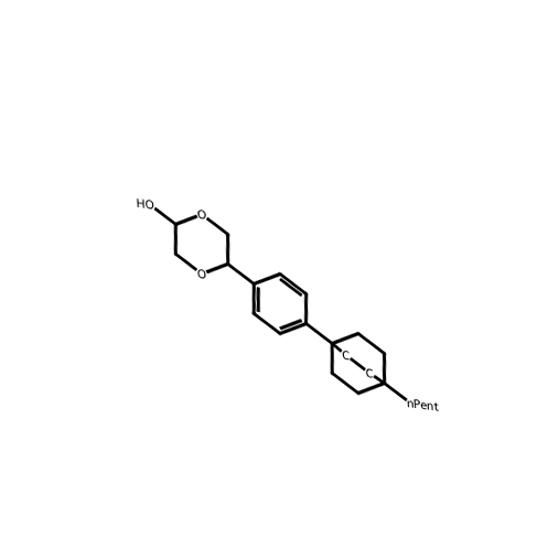 CCCCCC12CCC(c3ccc(C4COC(O)CO4)cc3)(CC1)CC2